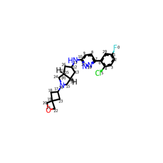 Fc1ccc(Cl)c(-c2ccc(NC3C[C@@H]4CN(C5CC6(COC6)C5)C[C@@H]4C3)nn2)c1